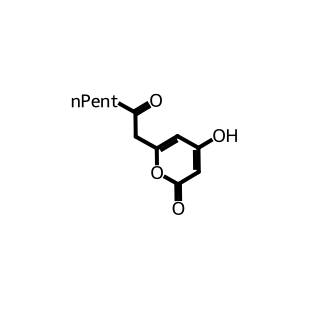 CCCCCC(=O)Cc1cc(O)cc(=O)o1